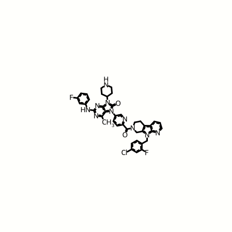 Cc1nc(Nc2cccc(F)c2)nc2c1n(-c1ccc(C(=O)N3CCc4c(n(Cc5ccc(Cl)cc5F)c5ncccc45)C3)nc1)c(=O)n2C1CCNCC1